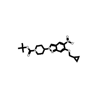 CC(C)(C)OC(=O)N1CCC(n2cc3cc([N+](=O)[O-])c(OCC4CC4)cc3n2)CC1